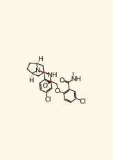 CNC(=O)c1cc(Cl)ccc1OCC(=O)N[C@H]1C[C@H]2CC[C@@H](C1)N2Cc1ccc(Cl)cc1